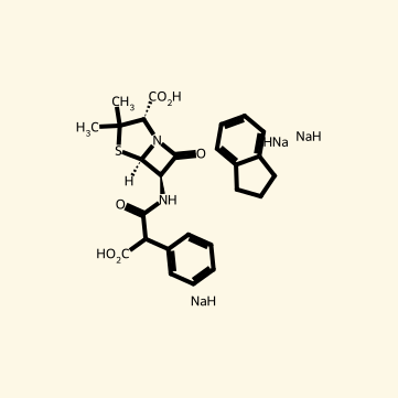 CC1(C)S[C@@H]2[C@H](NC(=O)C(C(=O)O)c3ccccc3)C(=O)N2[C@H]1C(=O)O.[NaH].[NaH].[NaH].c1ccc2c(c1)CCC2